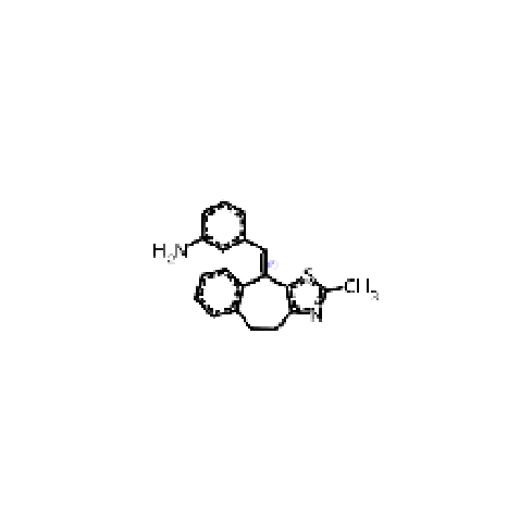 Cc1nc2c(s1)/C(=C/c1cccc(N)c1)c1ccccc1CC2